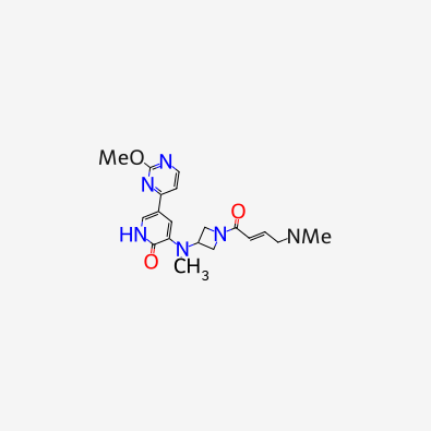 CNC/C=C/C(=O)N1CC(N(C)c2cc(-c3ccnc(OC)n3)c[nH]c2=O)C1